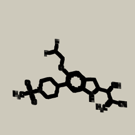 C=C(C#N)C(O)C1Cc2cc(OCC(F)F)c(C3CCN(S(C)(=O)=O)CC3)cc2N1